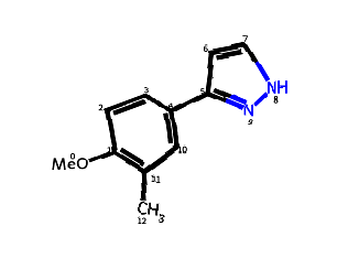 COc1ccc(-c2cc[nH]n2)cc1C